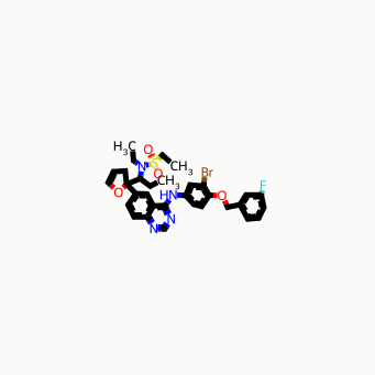 CCC(N(CC)S(=O)(=O)CC)C1(c2ccc3ncnc(Nc4ccc(OCc5cccc(F)c5)c(Br)c4)c3c2)CC=CO1